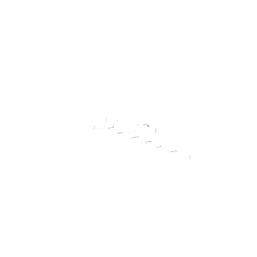 C=CC(=O)O.CC(=O)OC(O)COCCOCCOCCO